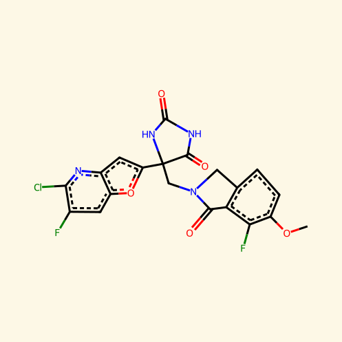 COc1ccc2c(c1F)C(=O)N(CC1(c3cc4nc(Cl)c(F)cc4o3)NC(=O)NC1=O)C2